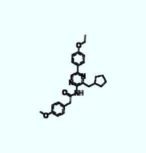 CCOc1ccc(-c2cnc(NC(=O)Cc3ccc(OC)cc3)c(CC3CCCC3)n2)cc1